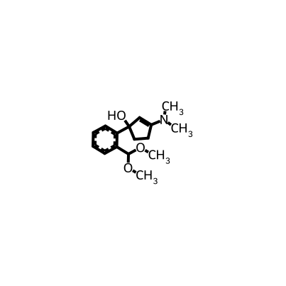 COC(OC)c1ccccc1C1(O)C=C(N(C)C)CC1